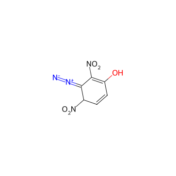 [N-]=[N+]=C1C([N+](=O)[O-])=C(O)C=CC1[N+](=O)[O-]